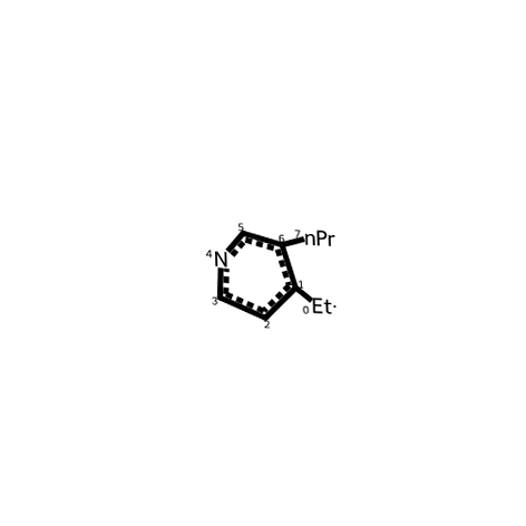 C[CH]c1ccncc1CCC